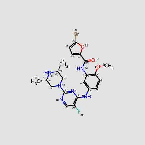 COc1ccc(Nc2nc(N3C[C@@H](C)N[C@@H](C)C3)ncc2F)cc1NC(=O)c1ccc(Br)o1